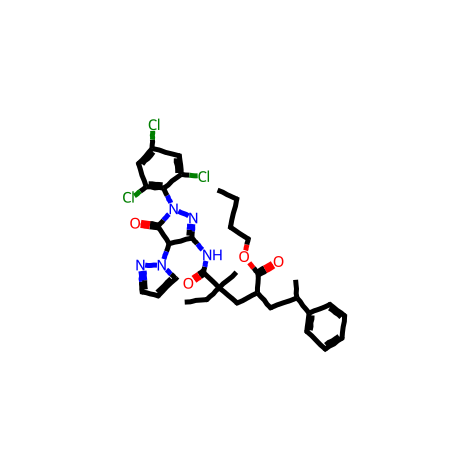 CCCCOC(=O)C(CC(C)c1ccccc1)CC(C)(CC)C(=O)NC1=NN(c2c(Cl)cc(Cl)cc2Cl)C(=O)C1n1cccn1